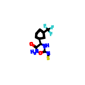 NC(=O)C(NC(=O)N=S)c1cccc(C(F)(F)F)c1